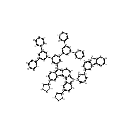 c1ccc(-c2cc(-c3ccccc3)cc(-c3cc(-c4cc(-c5ccccc5)cc(-c5ccccc5)c4)cc(-n4c5ccc(C6CCCC6)cc5c5c6c7cc(C8CCCC8)ccc7n(-c7cccc(-c8ccc9oc%10ccccc%10c9c8)n7)c6ccc54)c3)c2)cc1